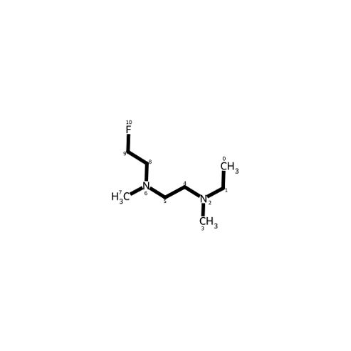 CCN(C)CCN(C)CCF